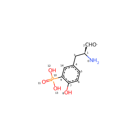 N[C@H]([C]=O)Cc1ccc(O)c(P(=O)(O)O)c1